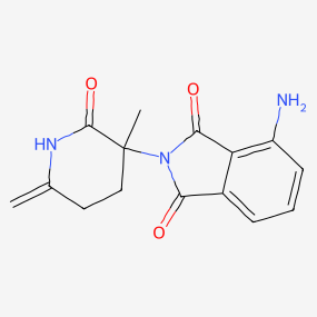 C=C1CCC(C)(N2C(=O)c3cccc(N)c3C2=O)C(=O)N1